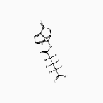 O=C1Oc2c(OC(=O)C(F)(F)C(F)(F)C(F)(F)C(=O)O)c3cc1c2o3